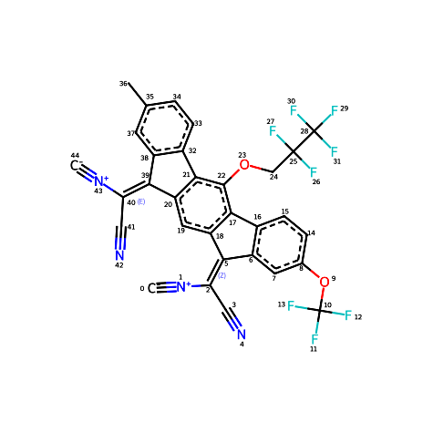 [C-]#[N+]/C(C#N)=C1/c2cc(OC(F)(F)F)ccc2-c2c1cc1c(c2OCC(F)(F)C(F)(F)F)-c2ccc(C)cc2/C1=C(/C#N)[N+]#[C-]